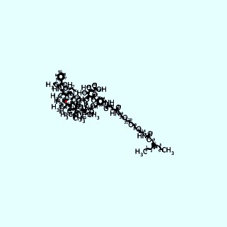 CCC[C@@H]1[C@H](CCC)[C@@H]1COC(=O)NCCOCCOCCOCCNC(=O)CCC(=O)Nc1ccc(O[C@@H]2OC(C(=O)O)[C@@H](O)C(O)C2O)c(COC(=O)N(C)[C@H](C(=O)N[C@H](C(=O)N(C)[C@@H]([C@@H](C)CC)[C@@H](CC(=O)N2CCC[C@H]2[C@H](OC)[C@@H](C)C(=O)N[C@H](C)[C@@H](O)c2ccccc2)OC)C(C)C)C(C)C)c1